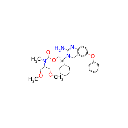 COCC(COC)N(C)C(=O)OC[C@@H](C1CCCCC1)N1Cc2cc(Oc3ccccc3)ccc2N=C1N